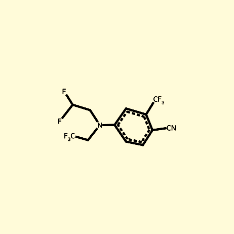 N#Cc1ccc(N(CC(F)F)CC(F)(F)F)cc1C(F)(F)F